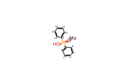 O=P(O)(c1ccccc1)c1ccccc1.[Mo]